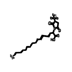 CCCCCCCCCCCCCCC(C(=O)O)N1C(=O)CC(S(=O)(=O)O)C1=O